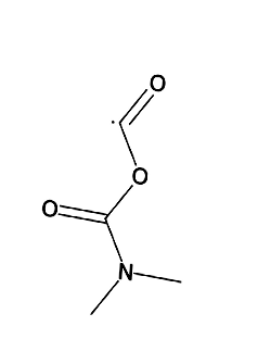 CN(C)C(=O)O[C]=O